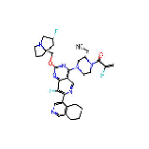 C=C(F)C(=O)N1CCN(c2nc(OC[C@@]34CCCN3C[C@H](F)C4)nc3c(F)c(-c4cncc5c4CCCC5)ncc23)C[C@@H]1CC#N